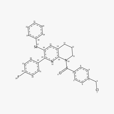 O=C(c1ccc(CCl)cc1)N1CCCc2cc([Se]c3ccccc3)c(-c3ccc(F)cc3)nc21